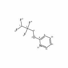 FC(F)C(F)(F)COc1cc[c]cn1